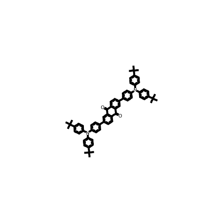 CC(C)(C)c1ccc(N(c2ccc(-c3ccc4c(c3)C(=O)c3ccc(-c5ccc(N(c6ccc(C(C)(C)C)cc6)c6ccc(C(C)(C)C)cc6)cc5)cc3C4=O)cc2)c2ccc(C(C)(C)C)cc2)cc1